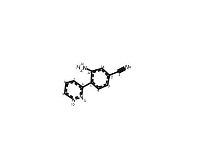 N#Cc1ccc(-c2cccnn2)c(N)c1